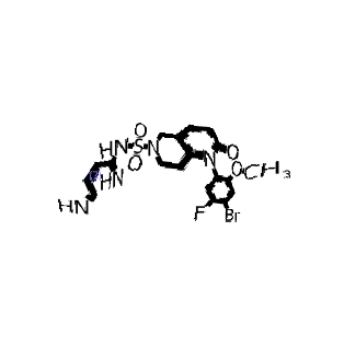 COc1cc(Br)c(F)cc1-n1c2c(ccc1=O)CN(S(=O)(=O)NC(=N)/C=C\C=N)CC2